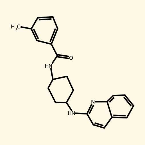 Cc1cccc(C(=O)NC2CCC(Nc3ccc4ccccc4n3)CC2)c1